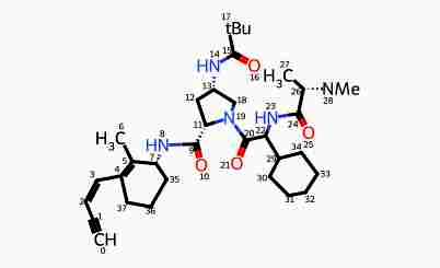 C#C/C=C\C1=C(C)[C@H](NC(=O)[C@@H]2C[C@H](NC(=O)C(C)(C)C)CN2C(=O)C(NC(=O)[C@H](C)NC)C2CCCCC2)CCC1